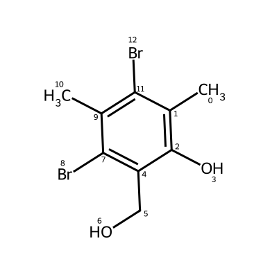 Cc1c(O)c(CO)c(Br)c(C)c1Br